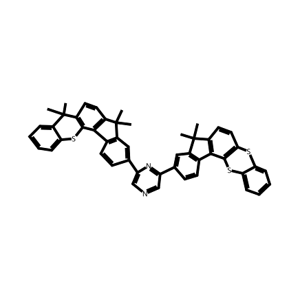 CC1(C)c2ccccc2Sc2c1ccc1c2-c2ccc(-c3cncc(-c4ccc5c(c4)C(C)(C)c4ccc6c(c4-5)Sc4ccccc4S6)n3)cc2C1(C)C